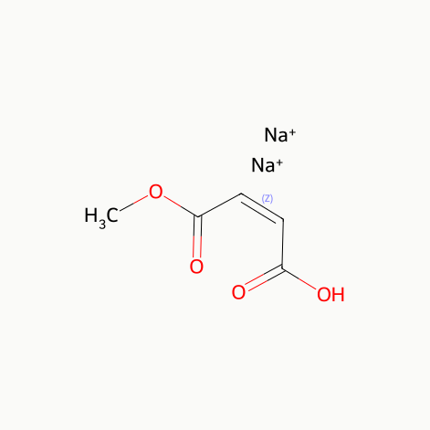 COC(=O)/C=C\C(=O)O.[Na+].[Na+]